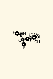 O=C1[C@H](CC[C@H](O)c2ccc(F)cc2)[C@@H](c2ccc(C(F)(F)[C@@H]3C[C@H](CO)[C@@H](O)[C@H](O)[C@H]3O)cc2)N1c1ccc(F)cc1